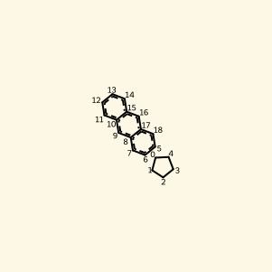 C1CCCC1.c1ccc2cc3ccccc3cc2c1